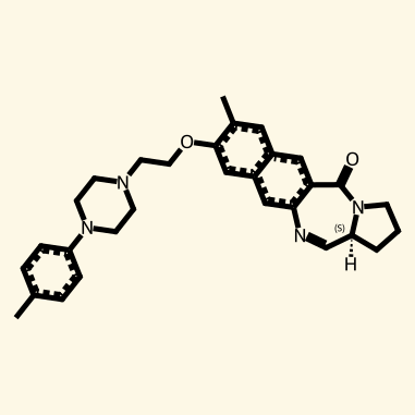 Cc1ccc(N2CCN(CCOc3cc4cc5c(cc4cc3C)C(=O)N3CCC[C@H]3C=N5)CC2)cc1